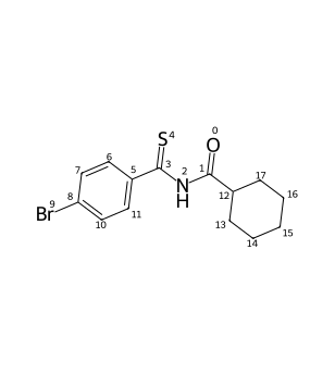 O=C(NC(=S)c1ccc(Br)cc1)C1CCCCC1